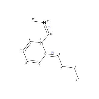 CCC/C=C1\C=CC=CN1/C=N\C